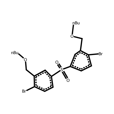 CCCCOCc1cc(S(=O)(=O)c2ccc(Br)c(COCCCC)c2)ccc1Br